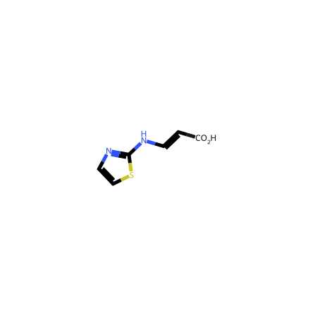 O=C(O)C=CNc1nccs1